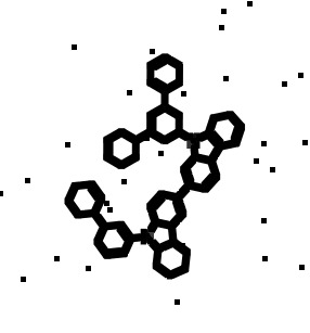 C1=CCCC(C2C=C(C3CC=CCC3)CC(N3C4=C(C=CCC4)C4C=CC(C5=CC6C7CCCCC7N(C7=CC(C8C=CCCC8)CC=C7)C6C=C5)=CC43)C2)=C1